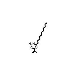 C=C(C)C(=O)OC(N)CCCCCCCCCCC